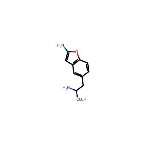 Nc1cc2cc(C[C@H](N)C(=O)O)ccc2o1